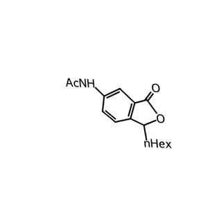 CCCCCCC1OC(=O)c2cc(NC(C)=O)ccc21